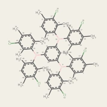 Cc1cc(C)c(B(c2cc(B(c3c(C)cc(C)c(Cl)c3C)c3c(C)cc(C)c(Cl)c3C)cc(B(c3c(C)cc(C)c(Cl)c3C)c3c(C)cc(C)c(Cl)c3C)c2)c2c(C)cc(C)c(Cl)c2C)c(C)c1Cl